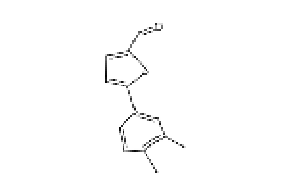 Cc1ccc(-c2ccc(C=O)s2)cc1C